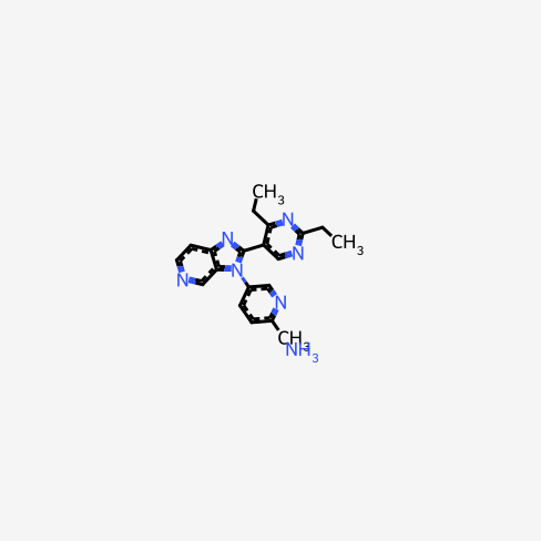 CCc1ncc(-c2nc3ccncc3n2-c2ccc(C)nc2)c(CC)n1.N